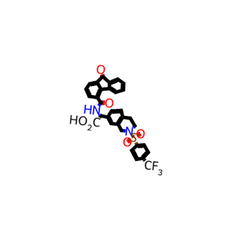 O=C(NC(C(=O)O)c1ccc2c(c1)CN(S(=O)(=O)c1ccc(C(F)(F)F)cc1)CC2)c1cccc2c1-c1ccccc1C2=O